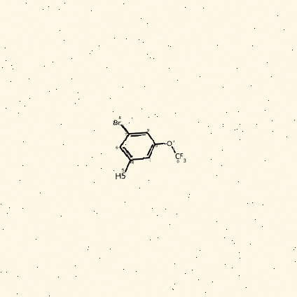 FC(F)(F)Oc1cc(S)cc(Br)c1